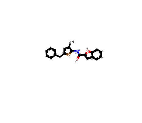 N#Cc1cc(Cc2ccccc2)sc1NC(=O)c1cc2ccccc2o1